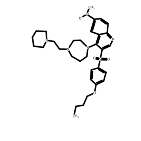 CCCCOc1ccc(S(=O)(=O)c2cnc3ccc([S+](C)[O-])cc3c2N2CCCN(CCN3CCCCC3)CC2)cc1